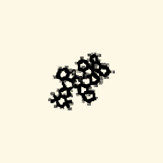 Cc1cc2c(cc1N1c3cc4ccccc4c4c3B(c3oc5ccccc5c31)N1c3ccccc3C3(c5ccccc5-c5ccccc53)c3cccc-4c31)C(C)(C)CCC2(C)C